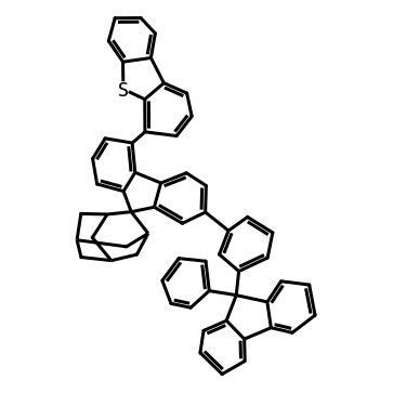 c1ccc(C2(c3cccc(-c4ccc5c(c4)C4(c6cccc(-c7cccc8c7sc7ccccc78)c6-5)C5CC6CC(C5)CC4C6)c3)c3ccccc3-c3ccccc32)cc1